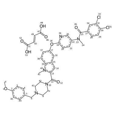 COc1ccc(CN2CCN(C(=O)c3cc4cc(Oc5ccc(N(C)C(=O)c6ccc(Cl)c(Cl)c6)cn5)ccc4n3C)CC2)cc1.O=C(O)C=CC(=O)O